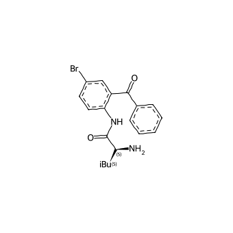 CC[C@H](C)[C@H](N)C(=O)Nc1ccc(Br)cc1C(=O)c1ccccc1